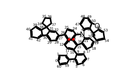 c1ccc(-c2ccccc2-c2ccccc2-c2ccccc2N(c2ccc(-c3ccc4c(c3)C3(CCCC3)c3ccccc3-4)cc2)c2cccc3oc4ccccc4c23)cc1